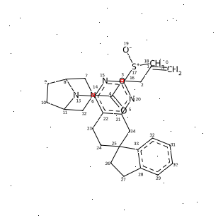 C=CCOC(=O)N1CC2CCC(C1)N2c1nc([S+](C)[O-])nc2c1CCC1(CCc3ccccc31)C2